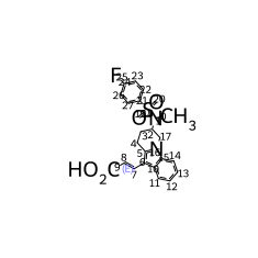 CN(C1CCc2c(/C=C/C(=O)O)c3ccccc3n2C1)S(=O)(=O)c1ccc(F)cc1